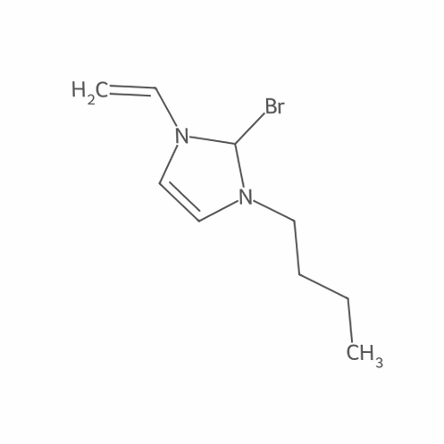 C=CN1C=CN(CCCC)C1Br